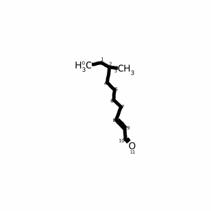 CCC(C)CCCCC=CC=O